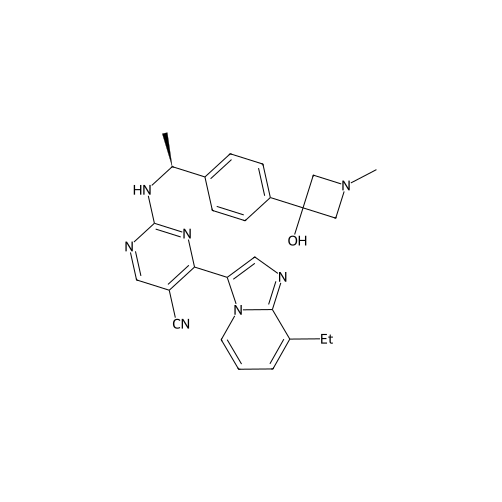 CCc1cccn2c(-c3nc(N[C@@H](C)c4ccc(C5(O)CN(C)C5)cc4)ncc3C#N)cnc12